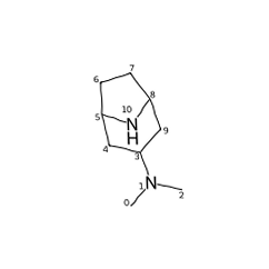 CN(C)C1CC2CCC(C1)N2